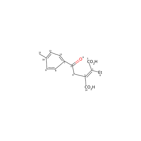 CCC(C(=O)O)=C(CC(=O)c1ccc(C)cc1)C(=O)O